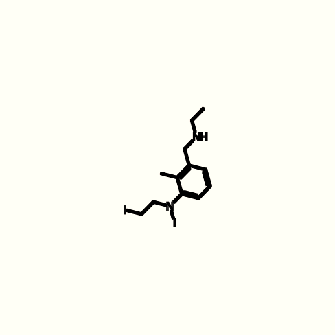 CCNCc1cccc(N(I)CCI)c1C